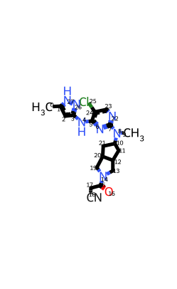 Cc1cc(Nc2nc(N(C)C3CC4CN(C(=O)CC#N)CC4C3)ncc2Cl)n[nH]1